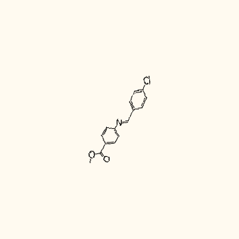 COC(=O)c1ccc(/N=C/c2ccc(Cl)cc2)cc1